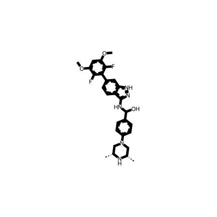 COc1cc(OC)c(F)c(-c2ccc3c(NC(O)c4ccc(N5C[C@@H](C)N[C@@H](C)C5)cc4)n[nH]c3c2)c1F